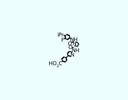 CC(C)c1ccc(NC(=O)N2CCC[C@@H]2C(=O)Nc2ccc(-c3ccc(C(=O)O)cc3)cn2)cc1F